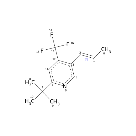 C/C=C/c1cnc(C(C)(C)C)cc1C(F)(F)F